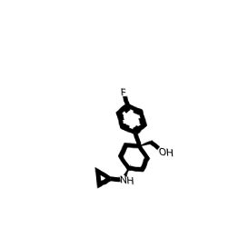 OC[C@]1(c2ccc(F)cc2)CC[C@H](NC2CC2)CC1